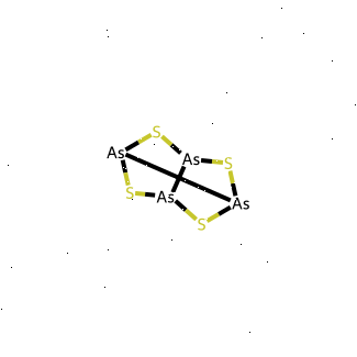 S1[As]2S[As]3S[As]2S[As]13